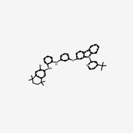 CC(C)(C)c1ccnc(-n2c3ccccc3c3ccc(Oc4cccc(Nc5ccccc5Nc5cc6c(cc5Br)C(C)(C)CCC6(C)C)c4)cc32)c1